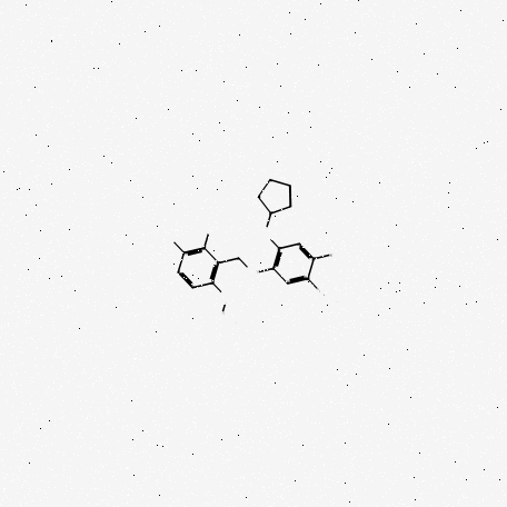 COc1ccc(F)c(F)c1COc1cc(N)c(F)cc1OC1CCCC1